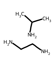 CC(C)N.NCCN